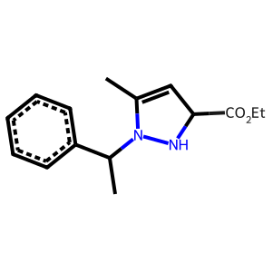 CCOC(=O)C1C=C(C)N(C(C)c2ccccc2)N1